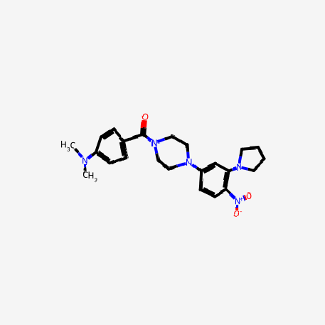 CN(C)c1ccc(C(=O)N2CCN(c3ccc([N+](=O)[O-])c(N4CCCC4)c3)CC2)cc1